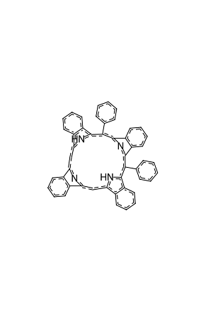 c1ccc(-c2c3nc(c(-c4ccccc4)c4[nH]c(cc5nc(cc6[nH]c2c2ccccc62)-c2ccccc2-5)c2ccccc42)-c2ccccc2-3)cc1